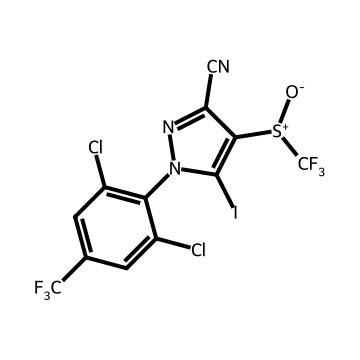 N#Cc1nn(-c2c(Cl)cc(C(F)(F)F)cc2Cl)c(I)c1[S+]([O-])C(F)(F)F